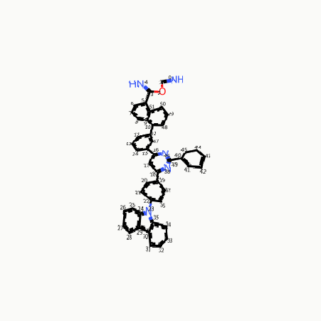 N=COC(=N)c1cccc2c(-c3cccc(-c4cc(-c5ccc(-n6c7ccccc7c7ccccc76)cc5)nc(C5=CC=CCC5)n4)c3)cccc12